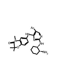 CC(=O)c1cnc(N[C@@H]2CCCC[C@@H]2N)nc1Nc1ccc2c(c1)N(C)C(=O)C(C)(C)O2